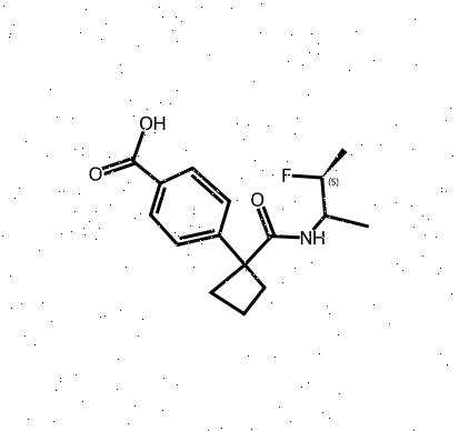 CC(NC(=O)C1(c2ccc(C(=O)O)cc2)CCC1)[C@H](C)F